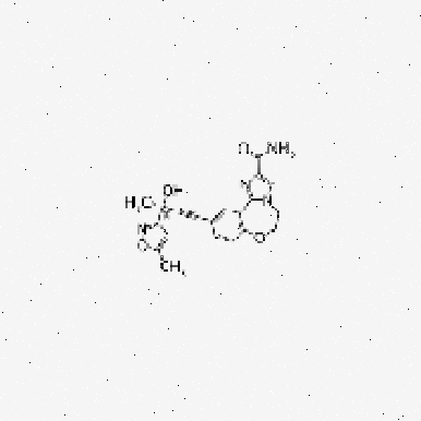 Cc1cc([C@@](C)(O)C#Cc2ccc3c(c2)-c2nc(C(N)=O)cn2CCO3)no1